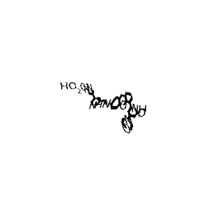 O=C(O)n1cc(-c2cncc(CNc3ccc4c(c3)Cc3cccc(-c5cc(N6CCOCC6)cc(=O)[nH]5)c3O4)c2)cn1